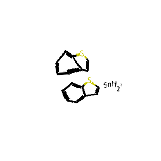 [SnH2].c1ccc2sccc2c1.c1ccc2sccc2c1